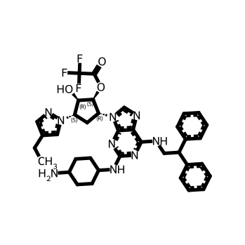 CCc1cnn([C@H]2C[C@@H](n3cnc4c(NCC(c5ccccc5)c5ccccc5)nc(NC5CCC(N)CC5)nc43)[C@H](OC(=O)C(F)(F)F)[C@@H]2O)c1